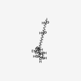 C=CC(=O)NCCCCCCC(=O)NCCCCCCCCCCCC(=O)N[C@@H](CO[C@H]1OC(CO)[C@H](O)C(O)CC1O)[C@H](O)[C@H](O)CC